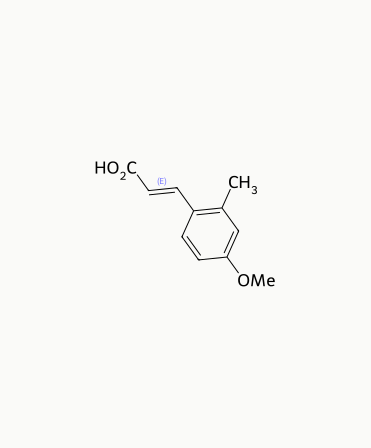 COc1ccc(/C=C/C(=O)O)c(C)c1